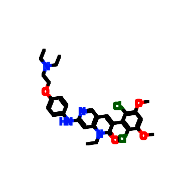 CCN(CC)CCOc1ccc(Nc2cc3c(cn2)cc(-c2c(Cl)c(OC)cc(OC)c2Cl)c(=O)n3CC)cc1